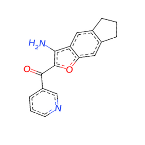 Nc1c(C(=O)c2cccnc2)oc2cc3c(cc12)CCC3